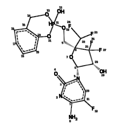 Nc1nc(=O)n([C@@H]2O[C@@](CO[PH]3(O)OCc4ccccc4O3)(C(F)F)C(F)(F)[C@@H]2O)cc1F